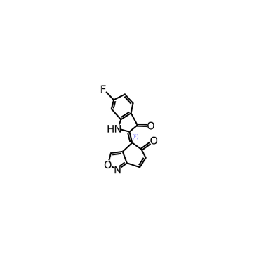 O=C1C=Cc2nocc2/C1=C1\Nc2cc(F)ccc2C1=O